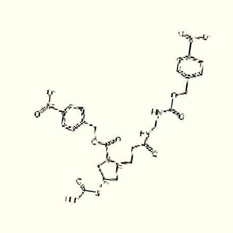 CC(=O)S[C@H]1C[C@H](CCC(=O)NCNC(=O)OCc2ccc([N+](=O)[O-])cc2)N(C(=O)OCc2ccc([N+](=O)[O-])cc2)C1